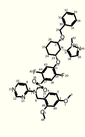 COc1ccc(CN(c2ccncn2)S(=O)(=O)c2cc(F)c(O[C@H]3CCC[C@@H](OCc4ccccc4)[C@@H]3c3ccnn3C)cc2F)c(OC)c1